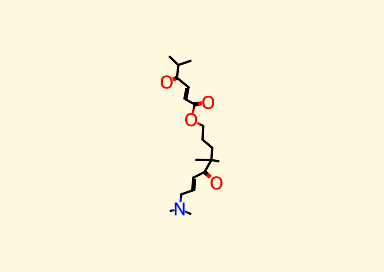 CC(C)C(=O)/C=C/C(=O)OCCCC(C)(C)C(=O)/C=C/CN(C)C